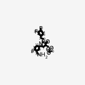 CS(=O)(=O)OCc1cc(-c2ccc(F)c(CN)c2)nn(CCc2ccc(F)c(F)c2)c1=O